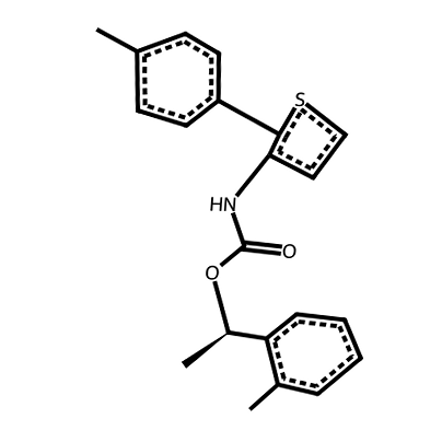 Cc1ccc(-c2sccc2NC(=O)O[C@H](C)c2ccccc2C)cc1